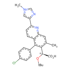 Cc1cc2nc(-c3cn(C)cn3)ccc2c(-c2ccc(Cl)cc2)c1[C@H](OC(C)(C)C)C(=O)O